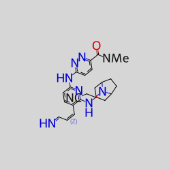 CNC(=O)c1ccc(Nc2ccc(/C=C\C=N)c(NC3CC4CCC(C3)N4CCC#N)n2)nn1